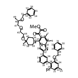 COC(=O)C(=O)c1c(C)c(C)c2nc(-c3cccc(-c4c(F)cc(C)cc4OCc4ccccc4)c3)cn2c1N1CCC(C)(OCCOC[C@@H](C)OCc2ccccc2)CC1